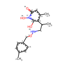 Cc1ccc(CONCC(C)c2c(C)cc(=O)n(O)c2O)cc1